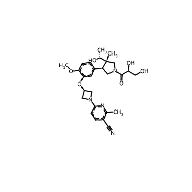 COc1ccc([C@@H]2CN(C(=O)[C@@H](O)CO)C[C@@]2(C)[C@@H](C)O)cc1OC1CN(c2ccc(C#N)c(C)n2)C1